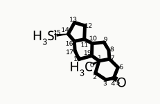 C[C@]12CCC(=O)CC1CCC1C3CC[C@H]([SiH3])C3CCC12